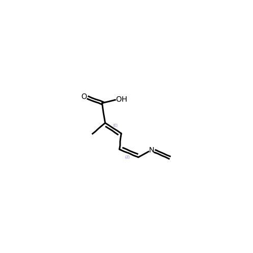 C=N/C=C\C=C(/C)C(=O)O